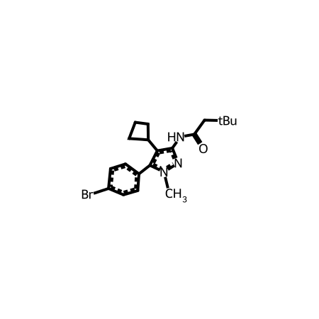 Cn1nc(NC(=O)CC(C)(C)C)c(C2CCC2)c1-c1ccc(Br)cc1